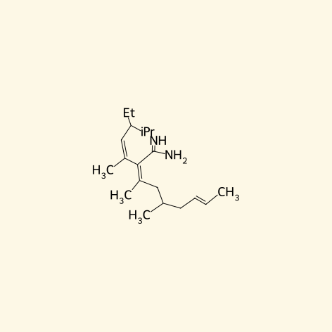 C/C=C/CC(C)C/C(C)=C(C(=N)N)/C(C)=C\C(CC)C(C)C